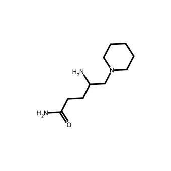 NC(=O)CCC(N)CN1CCCCC1